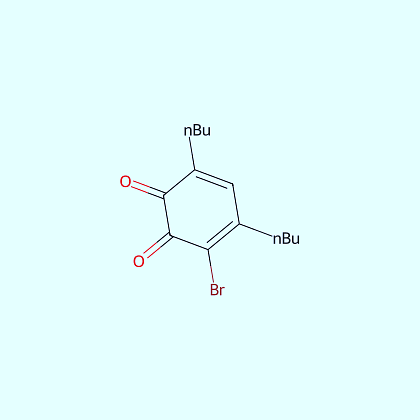 CCCCC1=CC(CCCC)=C(Br)C(=O)C1=O